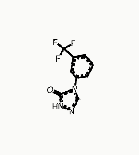 O=c1[nH]n[c]n1-c1cccc(C(F)(F)F)c1